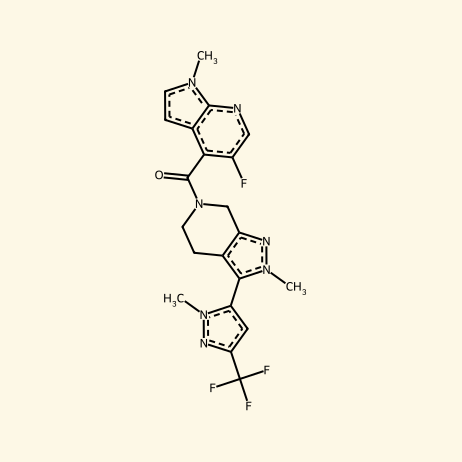 Cn1nc(C(F)(F)F)cc1-c1c2c(nn1C)CN(C(=O)c1c(F)cnc3c1ccn3C)CC2